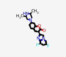 CC1CN(c2ccc3cc(-c4cn5cc(F)cc(F)c5n4)c(=O)oc3c2)CC(C)N1